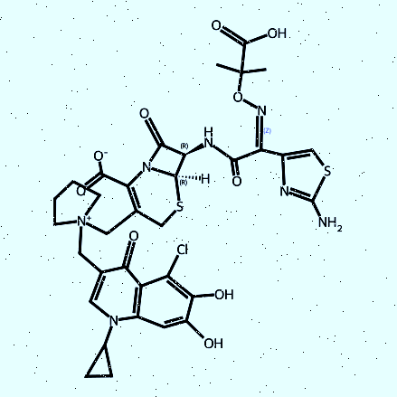 CC(C)(O/N=C(\C(=O)N[C@@H]1C(=O)N2C(C(=O)[O-])=C(C[N+]3(Cc4cn(C5CC5)c5cc(O)c(O)c(Cl)c5c4=O)CCCC3)CS[C@H]12)c1csc(N)n1)C(=O)O